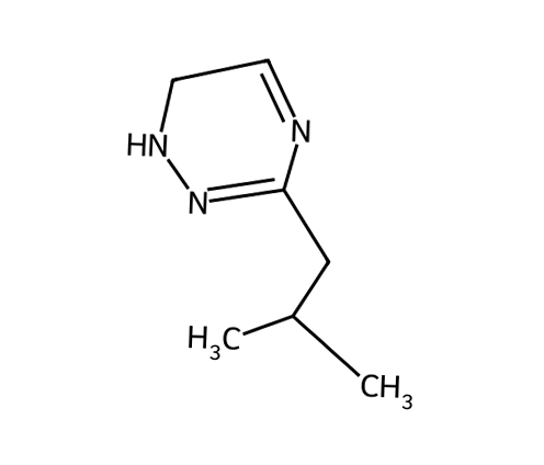 CC(C)CC1=NNCC=N1